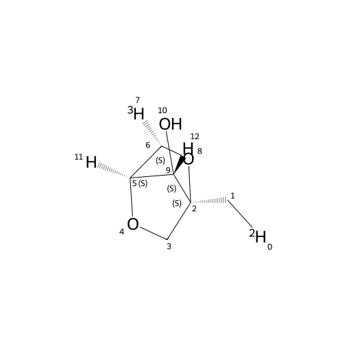 [2H]C[C@@]12CO[C@@H]([C@H]([3H])O1)[C@@H]2O